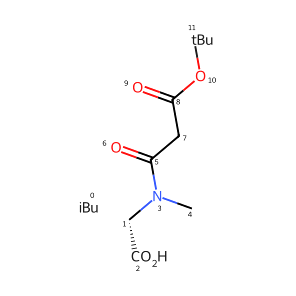 CC[C@H](C)[C@@H](C(=O)O)N(C)C(=O)CC(=O)OC(C)(C)C